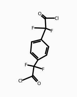 O=C(Cl)C(F)(F)c1ccc(C(F)(F)C(=O)Cl)cc1